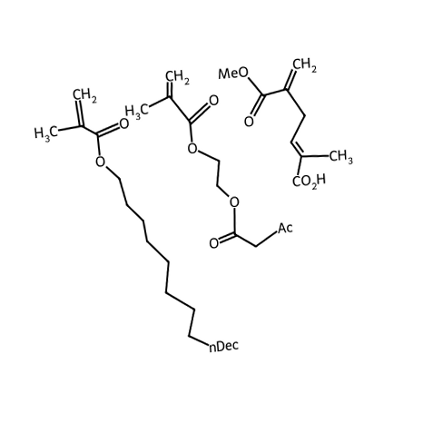 C=C(C)C(=O)OCCCCCCCCCCCCCCCCCC.C=C(C)C(=O)OCCOC(=O)CC(C)=O.C=C(CC=C(C)C(=O)O)C(=O)OC